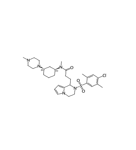 Cc1cc(S(=O)(=O)N2CCn3cccc3C2CCC(=O)N(C)[C@H]2CCC[C@@H](N3CCN(C)CC3)C2)c(C)cc1Cl